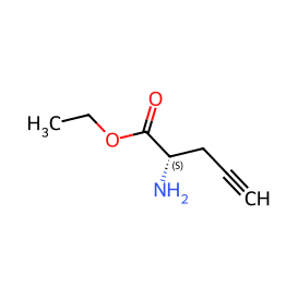 C#CC[C@H](N)C(=O)OCC